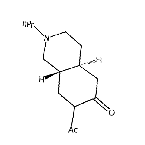 CCCN1CC[C@H]2CC(=O)C(C(C)=O)C[C@@H]2C1